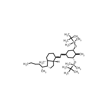 C=C1[C@H](O[Si](C)(C)C(C)(C)C)CC(=C/C=C2\CCC[C@]3(C)[C@@H]([C@H](C)CCCC)CC[C@@H]23)C[C@H]1O[Si](C)(C)C(C)(C)C